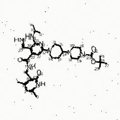 Cc1cc(C)c(CNC(=O)c2cc(N3CCC(N4CCN(C(=O)OC(C)(C)C)CC4)CC3)nc(NC(C)C)c2C=N)c(=O)[nH]1